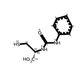 O=C(Nc1ccccc1)N[C@@H](CS)C(=O)O